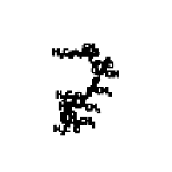 CSCCN(C)C(=O)C[C@@H]1C[C@@]2(CO2)[C@H](O)[C@@H](/C=C/C(C)=C/C[C@@H]2O[C@H](C)[C@H](NC(=O)/C=C\C(C)OC(C)=O)C[C@@H]2C)O1